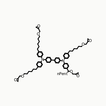 CCCCCC(OCC1CO1)c1ccc(N(c2ccc(CCCCCCOCC3CO3)cc2)c2ccc(-c3ccc(N(c4ccc(CCCCCCOCC5CO5)cc4)c4ccc(CCCCCCOCC5CO5)cc4)cc3)cc2)cc1